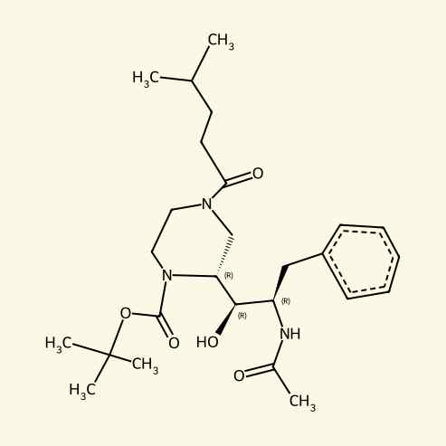 CC(=O)N[C@H](Cc1ccccc1)[C@@H](O)[C@H]1CN(C(=O)CCC(C)C)CCN1C(=O)OC(C)(C)C